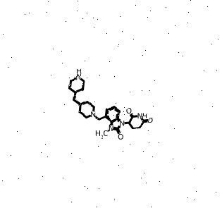 Cn1c(=O)n(C2CCC(=O)NC2=O)c2cccc(CN3CCC(CC4CCNCC4)CC3)c21